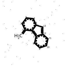 C=c1cccc2c1=c1ccccc1=C2